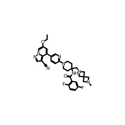 CCOc1cc(-c2ccc(N3CCC(CN4CC5(CN(C)C5)C4)(NC(=O)c4cc(F)ccc4F)CC3)nc2)c2c(C#N)cnn2c1